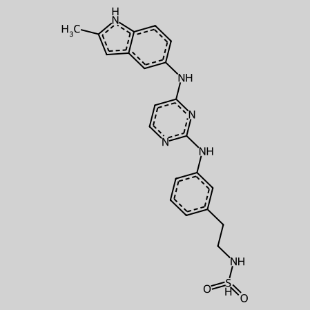 Cc1cc2cc(Nc3ccnc(Nc4cccc(CCN[SH](=O)=O)c4)n3)ccc2[nH]1